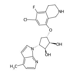 Cc1ccnc2c1ccn2[C@@H]1C[C@H](Oc2cc(Cl)c(F)c3c2CNCC3)[C@@H](O)[C@H]1O